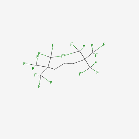 FC(F)(F)C(CCCC(C(F)(F)F)(C(F)(F)F)C(F)(F)F)(C(F)(F)F)C(F)(F)F